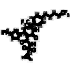 CC(C)n1ccc(C2=C(C(=O)NS(=O)(=O)C3CC3)C(=O)N[C@@](c3ccc(CCCCC(F)(F)F)cc3)(C(F)(F)F)C2)n1